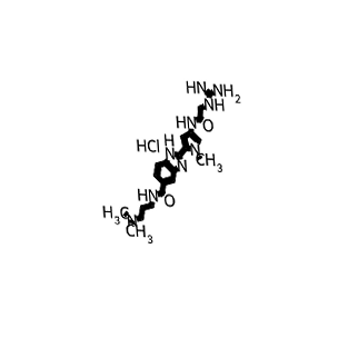 CN(C)CCCNC(=O)c1ccc2[nH]c(-c3cc(NC(=O)CNC(=N)N)cn3C)nc2c1.Cl